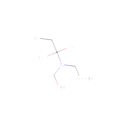 CC(C)CC(O)(O)N(CO)CC(=O)O